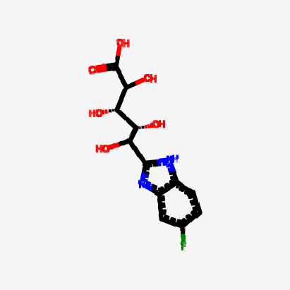 O=C(O)C(O)[C@@H](O)[C@H](O)C(O)c1nc2cc(F)ccc2[nH]1